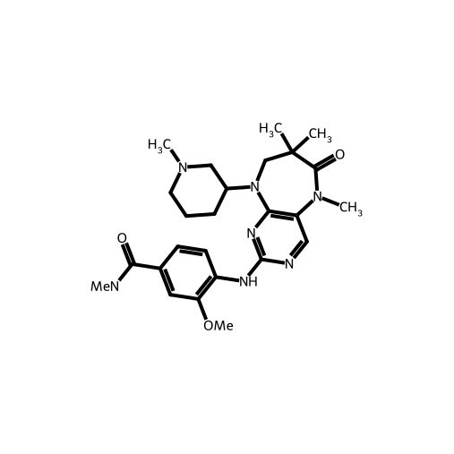 CNC(=O)c1ccc(Nc2ncc3c(n2)N(C2CCCN(C)C2)CC(C)(C)C(=O)N3C)c(OC)c1